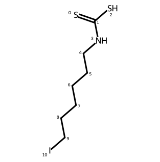 S=C(S)NCCCCCCI